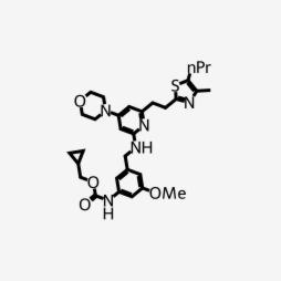 CCCc1sc(CCc2cc(N3CCOCC3)cc(NCc3cc(NC(=O)OCC4CC4)cc(OC)c3)n2)nc1C